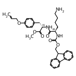 C=CCOc1ccc(C[C@H](NC(=O)[C@@H](CCCCN)NC(=O)OCC2c3ccccc3-c3ccccc32)C(=O)OC)cc1